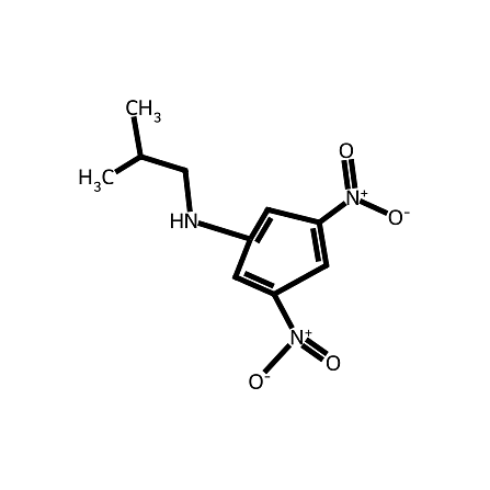 CC(C)CNc1cc([N+](=O)[O-])cc([N+](=O)[O-])c1